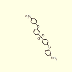 Nc1ccc(Oc2cccc(S(=O)(=O)c3ccc(Oc4cccc(N)c4)cc3)c2)cc1